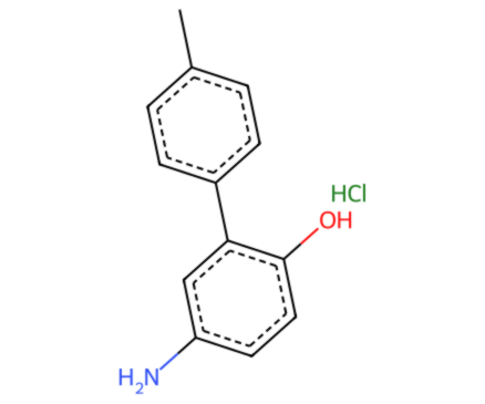 Cc1ccc(-c2cc(N)ccc2O)cc1.Cl